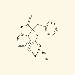 Cl.Cl.O=C1Oc2ccccc2C1(Cc1ccncc1)Cc1ccncc1